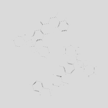 CN(CCC(=O)c1ccc(C(O[P]2(O)OCCCO2)[P]2(O)OCCCO2)cc1F)c1ccccn1.CN(CCN(C)c1ccccn1)C(=O)c1ccc(C(O[P]2(O)OCCCO2)[P]2(O)OCCCO2)cc1F